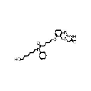 O=C1CN2Cc3c(cccc3OCCCCC(=O)N(CCCCCCO)C3CCCCC3)N=C2N1